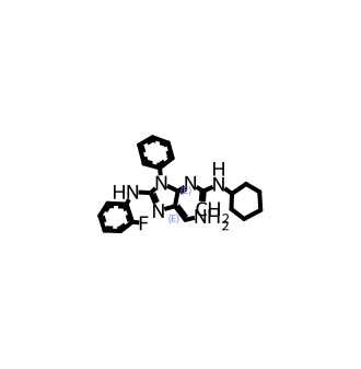 C=C(/N=C1\C(=C/N)N=C(Nc2ccccc2F)N1c1ccccc1)NC1CCCCC1